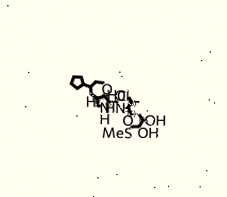 CSC1O[C@H]([C@H](NC(=O)[C@H]2NC[C@@H]3CC(C4CCCC4)CCO[C@H]32)[C@H](C)Cl)C[C@@H](O)C1O